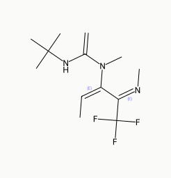 C=C(NC(C)(C)C)N(C)C(=C/C)/C(=N\C)C(F)(F)F